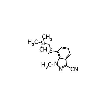 Cn1nc([14C]#N)c2cccc(SC[Si](C)(C)C)c21